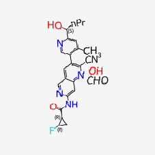 CCC[C@H](O)c1cc(C)c(-c2cc3cnc(NC(=O)[C@H]4C[C@H]4F)cc3nc2C#N)cn1.O=CO